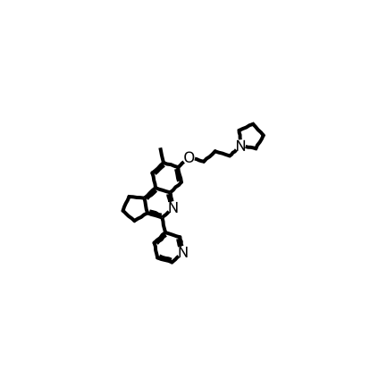 Cc1cc2c3c(c(-c4cccnc4)nc2cc1OCCCN1CCCC1)CCC3